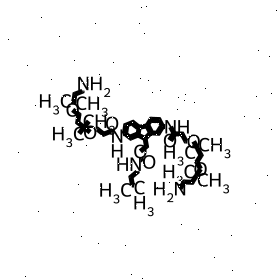 CC(C)CCNC(=O)OCC1c2cc(NC(=O)CCOC(C)(C)CCOC(C)(C)CCN)ccc2-c2ccc(NC(=O)CCOC(C)(C)CCOC(C)(C)CCN)cc21